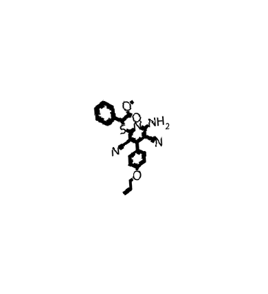 C=CCOc1ccc(-c2c(C#N)c(N)nc(SC(C(=O)OC)c3ccccc3)c2C#N)cc1